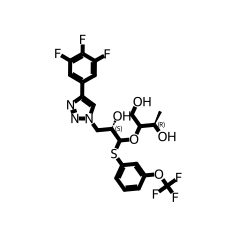 C[C@@H](O)C(CO)OC(Sc1cccc(OC(F)(F)F)c1)[C@@H](O)Cn1cc(-c2cc(F)c(F)c(F)c2)nn1